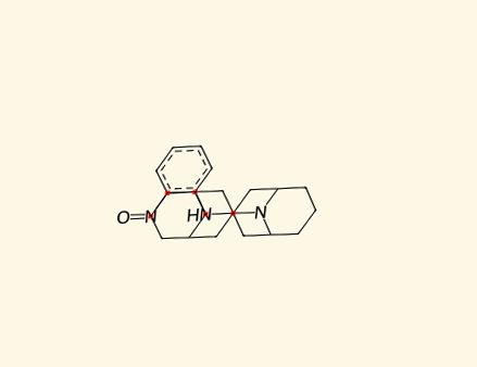 O=Nc1ccccc1NC1CC2CCCC(C1)N2C1CC2CCCC(C2)C1